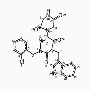 NN(Cc1ccccc1Cl)C(=O)C(Cc1c[nH]c2ccccc12)C(=O)CN1CC(=O)NCC1=O